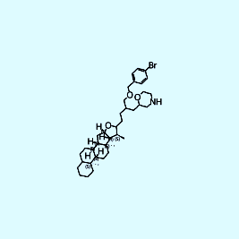 C[C@@H]1C(CCC(COCc2ccc(Br)cc2)CC2CNCCO2)O[C@H]2C[C@H]3[C@@H]4CCC5CCCC[C@]5(C)[C@H]4CC[C@]3(C)[C@H]21